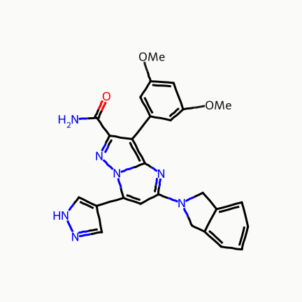 COc1cc(OC)cc(-c2c(C(N)=O)nn3c(-c4cn[nH]c4)cc(N4Cc5ccccc5C4)nc23)c1